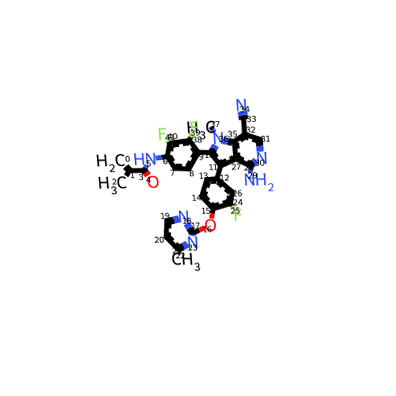 C=C(C)C(=O)Nc1ccc(-c2c(-c3ccc(Oc4nccc(C)n4)c(F)c3)c3c(N)ncc(C#N)c3n2C)c(F)c1F